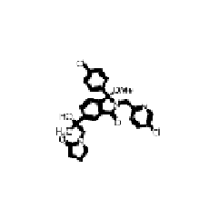 CO[C@]1(c2ccc(Cl)cc2)c2ccc(C(C)(O)CN3CCCC3=O)cc2C(=O)N1Cc1ccc(Cl)cn1